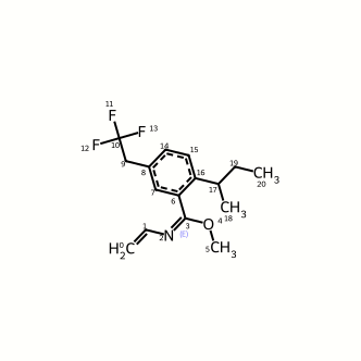 C=C/N=C(/OC)c1cc(CC(F)(F)F)ccc1C(C)CC